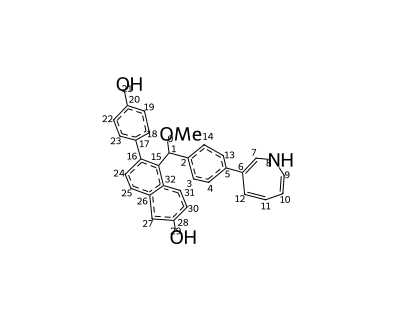 COC(c1ccc(C2=CNC=CC=C2)cc1)c1c(-c2ccc(O)cc2)ccc2cc(O)ccc12